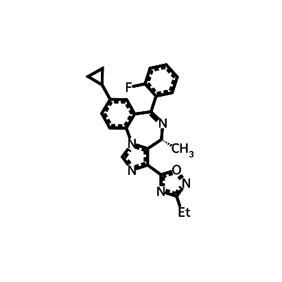 CCc1noc(-c2ncn3c2[C@@H](C)N=C(c2ccccc2F)c2cc(C4CC4)ccc2-3)n1